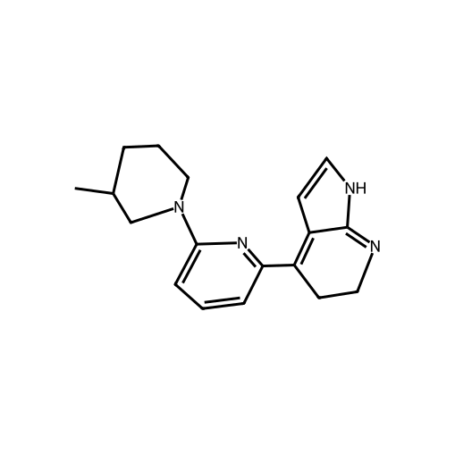 CC1CCCN(c2cccc(C3=c4cc[nH]c4=NCC3)n2)C1